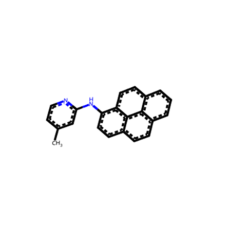 Cc1ccnc(Nc2ccc3ccc4cccc5ccc2c3c45)c1